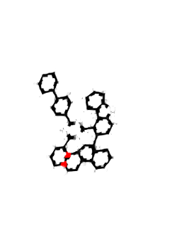 c1ccc(-c2ccc(-c3nc(-c4ccccc4)nc(-c4c(-c5cc6ccccc6c6ccccc56)ccc5oc6ccccc6c45)n3)cc2)cc1